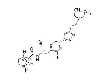 CCN(CC)CCc1cn(-c2ccc(C[C@@H](C#N)NC(=O)[C@H]3N[C@@H]4CC[C@H]3C4)c(F)c2)nn1